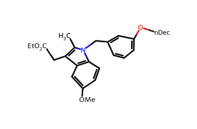 CCCCCCCCCCOc1cccc(Cn2c(C)c(CC(=O)OCC)c3cc(OC)ccc32)c1